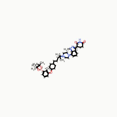 Cc1c(OC2CCC(CCCC(C)(C)N3CCN(c4cccc5c(C6CCC(=O)NC6=O)nn(C)c45)CC3)CC2)cccc1B1OC(C)(C)C(C)(C)O1